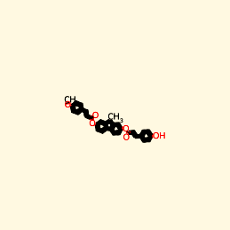 COc1ccc(/C=C/C(=O)Oc2ccc3c(c2)C(C)c2cc(OC(=O)/C=C/c4ccc(O)cc4)ccc2-3)cc1